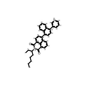 CCCCCC(CC)N1C(=O)c2cccc3c(-c4ccc(-c5cccnc5)c5ccccc45)ccc(c23)C1=O